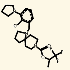 CC(OC(=O)N1CCC2(CCCN2Cc2cccc(N3CCCC3)c2Cl)CC1)C(F)(F)F